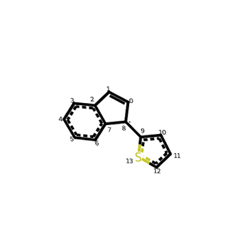 C1=Cc2ccccc2[C]1c1cccs1